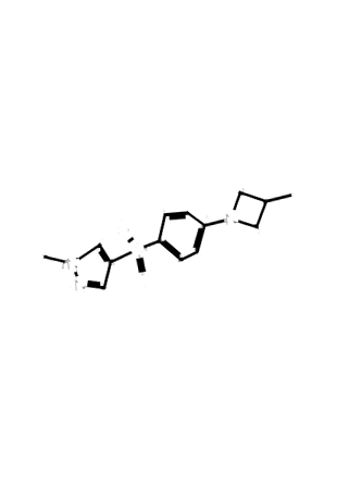 CC1CN(c2ccc(S(=O)(=O)c3cnn(C)c3)cc2)C1